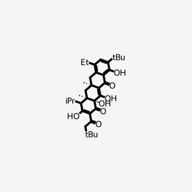 CCc1cc(C(C)(C)C)c(O)c2c1C[C@]1(C)C[C@]3(C)C(C(C)C)C(O)=C(C(=O)CC(C)(C)C)C(=O)[C@]3(O)C(O)=C1C2=O